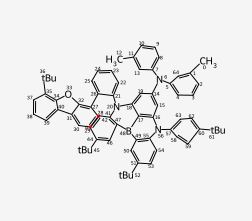 Cc1cccc(N(c2cccc(C)c2)c2cc3c4c(c2)N(c2ccccc2-c2cccc5c2oc2c(C(C)(C)C)cccc25)c2ccc(C(C)(C)C)cc2B4c2cc(C(C)(C)C)ccc2N3c2ccc(C(C)(C)C)cc2)c1